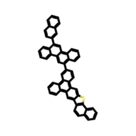 c1ccc2cc(-c3cc4c5ccccc5c(-c5ccc6c(c5)c5ccccc5c5cc7c(cc65)sc5c6ccccc6ccc75)cc4c4ccccc34)ccc2c1